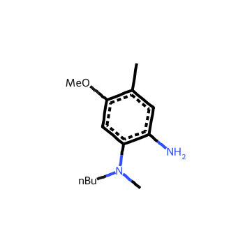 CCCCN(C)c1cc(OC)c(C)cc1N